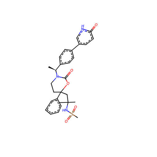 C[C@@H](c1ccc(-c2ccc(=O)[nH]c2)cc1)N1CCC(CC(C)(C)NS(C)(=O)=O)(c2ccccc2)OC1=O